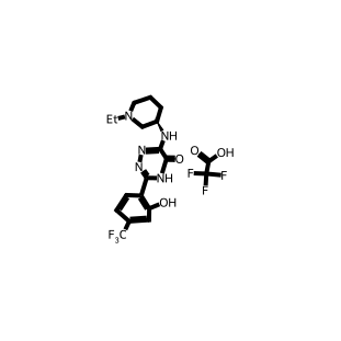 CCN1CCC[C@@H](Nc2nnc(-c3ccc(C(F)(F)F)cc3O)[nH]c2=O)C1.O=C(O)C(F)(F)F